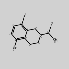 CCc1ccc(F)c2c1CCN(C(C)I)C2